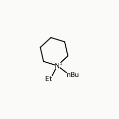 CCCC[N+]1(CC)CCCCC1